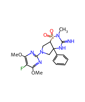 COc1nc(N2CC3C(c4ccccc4)(C2)NC(=N)N(C)S3(=O)=O)nc(OC)c1F